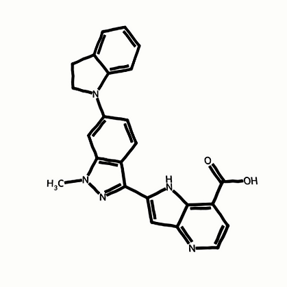 Cn1nc(-c2cc3nccc(C(=O)O)c3[nH]2)c2ccc(N3CCc4ccccc43)cc21